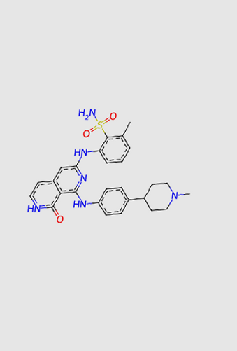 Cc1cccc(Nc2cc3cc[nH]c(=O)c3c(Nc3ccc(C4CCN(C)CC4)cc3)n2)c1S(N)(=O)=O